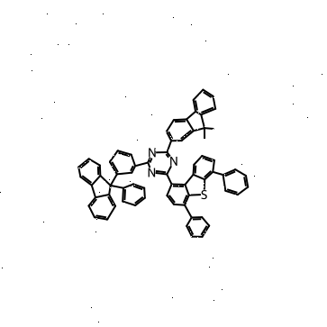 CC1(C)c2ccccc2-c2ccc(-c3nc(-c4cccc(C5(c6ccccc6)c6ccccc6-c6ccccc65)c4)nc(-c4ccc(-c5ccccc5)c5sc6c(-c7ccccc7)cccc6c45)n3)cc21